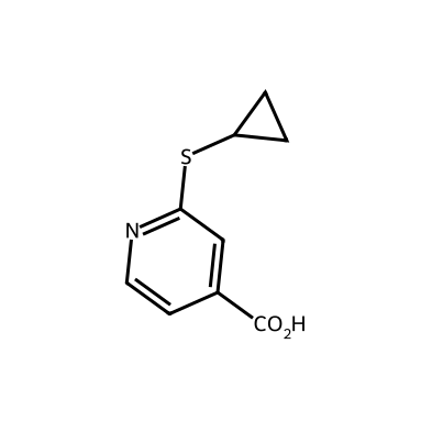 O=C(O)c1ccnc(SC2CC2)c1